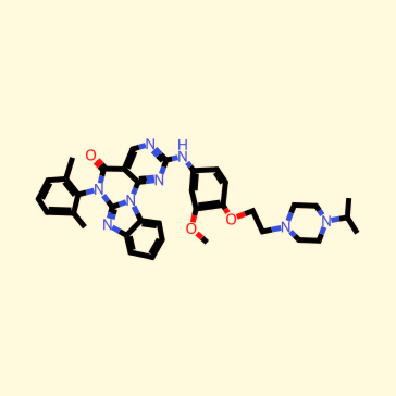 COc1cc(Nc2ncc3c(=O)n(-c4c(C)cccc4C)c4nc5ccccc5n4c3n2)ccc1OCCN1CCN(C(C)C)CC1